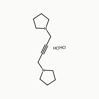 C(#CCN1CCCC1)CN1CCCC1.Cl.Cl